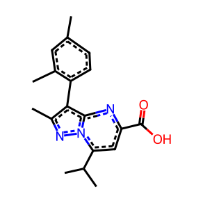 Cc1ccc(-c2c(C)nn3c(C(C)C)cc(C(=O)O)nc23)c(C)c1